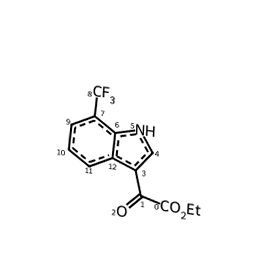 CCOC(=O)C(=O)c1c[nH]c2c(C(F)(F)F)cccc12